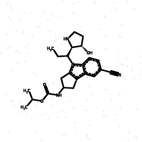 CCC([C@H]1NCC[C@@H]1O)n1c2c(c3cc(C#N)ccc31)CC(NC(=O)OC(C)C)C2